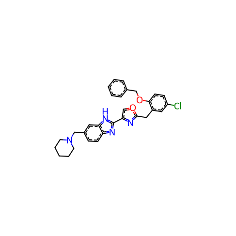 Clc1ccc(OCc2ccccc2)c(Cc2nc(-c3nc4ccc(CN5CCCCC5)cc4[nH]3)co2)c1